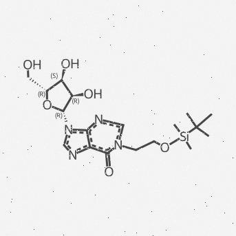 CC(C)(C)[Si](C)(C)OCCn1cnc2c(ncn2[C@@H]2O[C@H](CO)[C@@H](O)[C@H]2O)c1=O